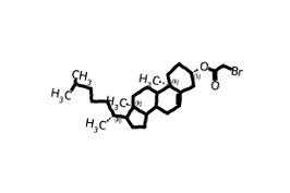 CC(C)CCC[C@@H](C)C1CCC2C3CC=C4C[C@@H](OC(=O)CBr)CC[C@]4(C)C3CC[C@@]21C